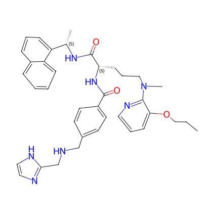 CCCOc1cccnc1N(C)CCC[C@H](NC(=O)c1ccc(CNCc2ncc[nH]2)cc1)C(=O)N[C@@H](C)c1cccc2ccccc12